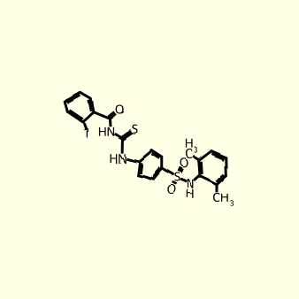 Cc1cccc(C)c1NS(=O)(=O)c1ccc(NC(=S)NC(=O)c2ccccc2I)cc1